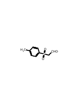 Cc1ccc(S(=O)(=O)C[C]=O)cc1